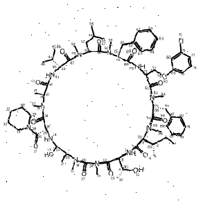 CC[C@H](C)[C@H]1C(=O)NC([C@@H](C)O)C(=O)N(C)C(=O)N(C)C(C)C(O)N[C@H](C(=O)N2CCCCC2)C(=O)N(C)[C@@H](C)C(=O)N[C@H](C(C)C)C(=O)N(C)C(CC(C)C)C(=O)N(C)[C@@H](Cc2ccccc2)C(=O)NC(COc2cccc(Cl)c2)C(=O)N(C)[C@H](Cc2ccccc2)C(=O)N1C